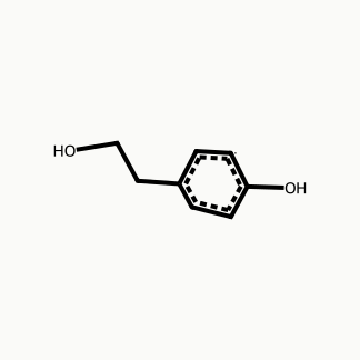 OCCc1c[c]c(O)cc1